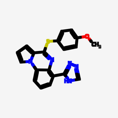 COc1ccc(Sc2nc3c(-c4nnc[nH]4)cccc3n3cccc23)cc1